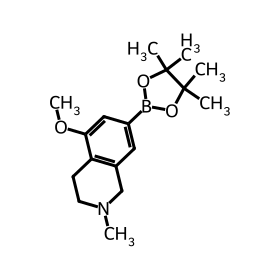 COc1cc(B2OC(C)(C)C(C)(C)O2)cc2c1CCN(C)C2